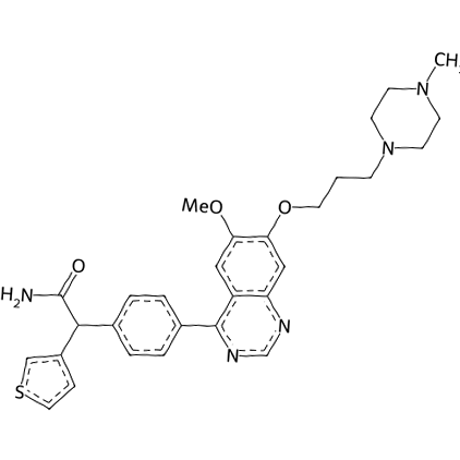 COc1cc2c(-c3ccc(C(C(N)=O)c4ccsc4)cc3)ncnc2cc1OCCCN1CCN(C)CC1